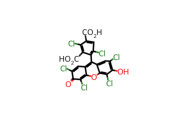 O=C(O)c1cc(Cl)c(-c2c3cc(Cl)c(=O)c(Cl)c-3oc3c(Cl)c(O)c(Cl)cc23)c(C(=O)O)c1Cl